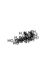 CC(C)C[C@H](NC(=O)[C@H](CC(N)=O)NC(=O)[C@H](CO)NC(=O)[C@@H](NC(=O)[C@H](C)N)[C@@H](C)O)C(=O)N[C@@H](C)C(=O)N[C@@H](CO)C(=O)O